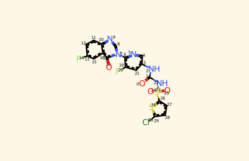 O=C(Nc1cnc(-n2cnc3ccc(F)cc3c2=O)c(F)c1)NS(=O)(=O)c1ccc(Cl)s1